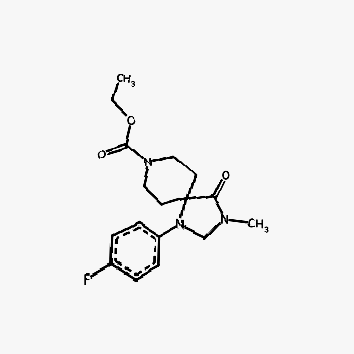 CCOC(=O)N1CCC2(CC1)C(=O)N(C)CN2c1ccc(F)cc1